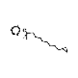 O=C(CCCCCCCCC1CC1)Oc1ccccc1